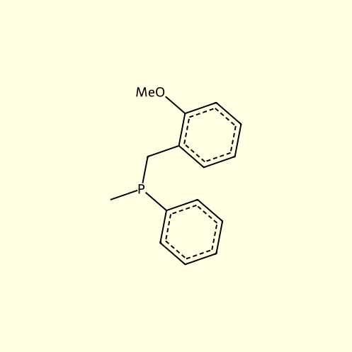 COc1ccccc1CP(C)c1ccccc1